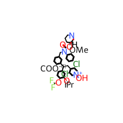 COc1ccccc1N(Cc1ccc(C(=O)[O-])c([C@@H](Cc2c(Cl)c[n+](O)cc2Cl)c2ccc(OC(F)F)c(OC(C)C)c2)c1)C(=O)O[C@H]1CN2CCC1CC2